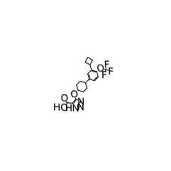 O=C(O)c1[nH]nnc1O[C@H]1CC[C@H](c2ccc(OC(F)(F)F)c(C3CCC3)c2)CC1